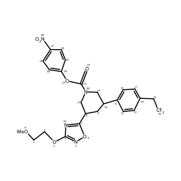 COCCOc1noc(C2CC(c3ccc(CC(F)(F)F)cc3)CN(C(=O)Oc3ccc([N+](=O)[O-])cc3)C2)n1